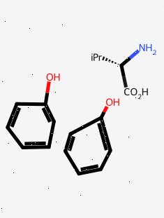 CC(C)[C@H](N)C(=O)O.Oc1ccccc1.Oc1ccccc1